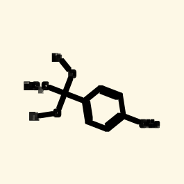 CCOC(=O)C(OCC)(OCC)c1ccc(OC)cc1